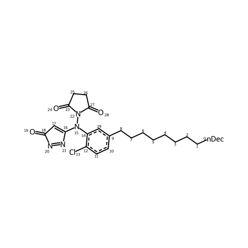 CCCCCCCCCCCCCCCCCCc1ccc(Cl)c(N(C2=CC(=O)N=N2)N2C(=O)CCC2=O)c1